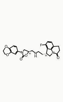 O=C1O[C@H](CNCC[C@H]2CN3C(=O)CCc4ccc(F)c2c43)CN1c1ccc2c(c1)OCCO2